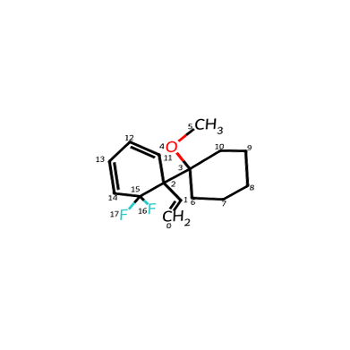 C=CC1(C2(OC)CCCCC2)C=CC=CC1(F)F